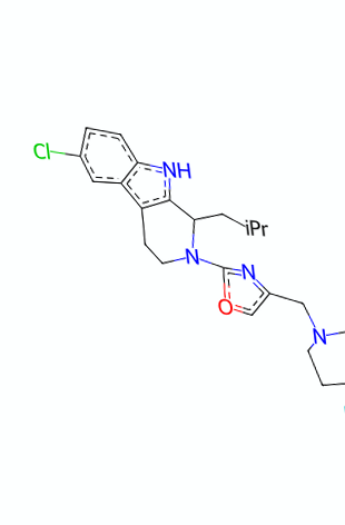 CC(C)CC1c2[nH]c3ccc(Cl)cc3c2CCN1c1nc(CN2CCC(F)(F)CC2)co1